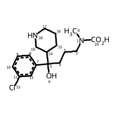 CN(CCCC(O)(c1cccc(Cl)c1)C1CCCNC1)C(=O)O